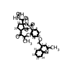 Cc1cc(COc2ccc(S(=O)(=O)NC3(C(=O)NO)CCC(C(=O)C(C)C)C3)cc2)c2ccccc2n1